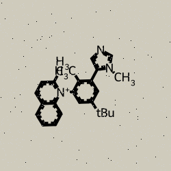 Cc1c(-c2cncn2C)cc(C(C)(C)C)cc1-[n+]1c(C)ccc2ccccc21